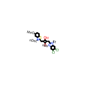 CCCCCCCCCC[n+]1c(/C=C2/C(=O)C(/C=C3/N(CC)c4cc(Cl)c(Cl)cc4N3CCCC)=C2O)sc2ccc(OC)cc21